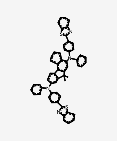 CC1(C)c2cc(N(c3ccccc3)c3ccc(-c4nc5ccccc5s4)cc3)ccc2-c2c1cc(N(c1ccccc1)c1ccc(-c3nc4ccccc4s3)cc1)c1ccccc21